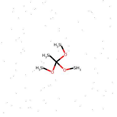 [SiH3]OC([SiH3])(O[SiH3])O[SiH3]